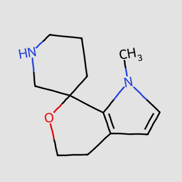 Cn1ccc2c1C1(CCCNC1)OCC2